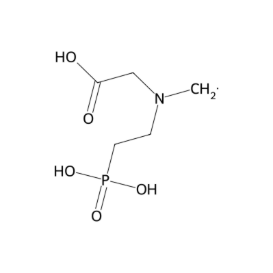 [CH2]N(CCP(=O)(O)O)CC(=O)O